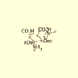 CCCCCCCCCCCC(=O)O.CCCCCCCCCCCC(=O)O.CN(C)C.N